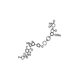 COc1cc(N2CCN([C@H]3CC[C@@H](Oc4ccc(-c5cnc6[nH]cc(C(=O)c7c(F)ccc(NS(=O)(=O)N8CC[C@@H](F)C8)c7F)c6c5)cc4)CC3)CC2)cc2c1C(=O)N(C1CCC(=O)NC1=O)C2